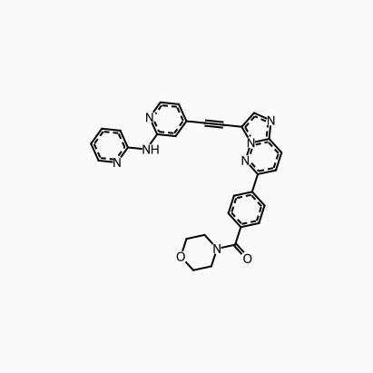 O=C(c1ccc(-c2ccc3ncc(C#Cc4ccnc(Nc5ccccn5)c4)n3n2)cc1)N1CCOCC1